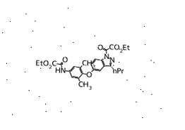 CCCc1nn(C(=O)C(=O)OCC)c2ccc(Oc3c(C)cc(NC(=O)C(=O)OCC)cc3C)cc12